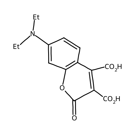 CCN(CC)c1ccc2c(C(=O)O)c(C(=O)O)c(=O)oc2c1